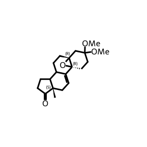 COC1(OC)CC[C@]23O[C@]2(CCC2C3=CC[C@]3(C)C(=O)CCC23)C1